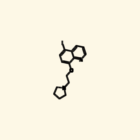 Ic1ccc(OCCN2CCCC2)c2ncccc12